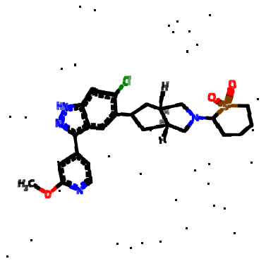 COc1cc(-c2n[nH]c3cc(Cl)c(C4C[C@@H]5CN(C6CCCCS6(=O)=O)C[C@@H]5C4)cc23)ccn1